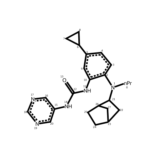 CCCN(c1ccc(C2CC2)cc1NC(=O)Nc1cncnc1)C1CC2CCC1C2